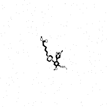 COC(=O)CCCCCN1CCN(c2cc(OC)c(N)cc2-c2cnn(C)c2)CC1